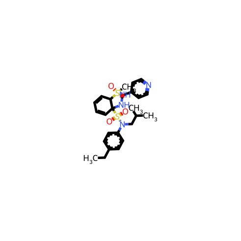 CCc1ccc(N(CC(C)C)S(=O)(=O)C2(NCc3ccncc3)C=CC=CC2S(C)(=N)=O)cc1